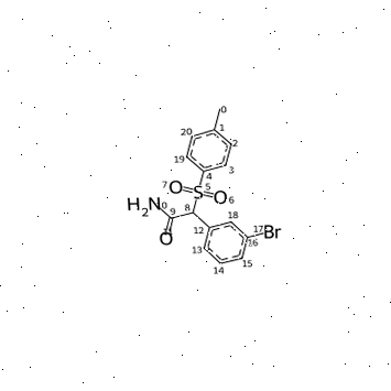 Cc1ccc(S(=O)(=O)C(C(N)=O)c2cccc(Br)c2)cc1